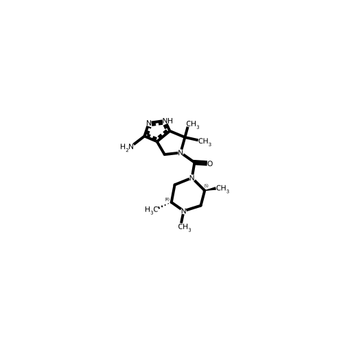 C[C@@H]1CN(C(=O)N2Cc3c(N)n[nH]c3C2(C)C)[C@@H](C)CN1C